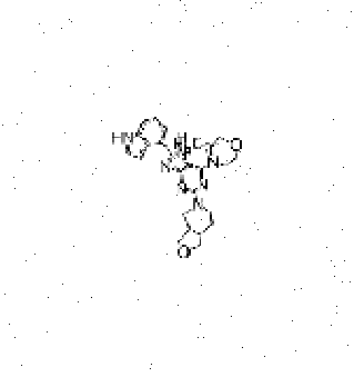 C[C@@H]1COCCN1c1nc(N2CCC3COCC3C2)nc2nc(-c3cccc4[nH]ccc34)[nH]c12